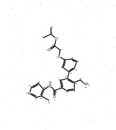 CC(C)OC(=O)COc1cccc(-c2cc(C(=O)Nc3ccncc3F)ccc2CN)c1